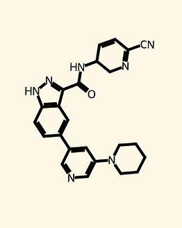 N#CC1=NCC(NC(=O)c2n[nH]c3ccc(-c4cncc(N5CCCCC5)c4)cc23)C=C1